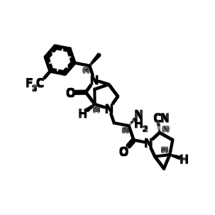 C[C@H](c1cccc(C(F)(F)F)c1)N1C(=O)[C@@H]2CC1CN2C[C@H](N)C(=O)N1C2C[C@H]2C[C@H]1C#N